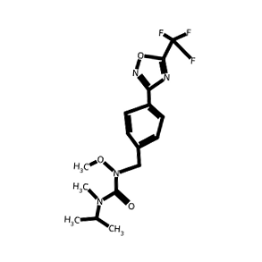 CON(Cc1ccc(-c2noc(C(F)(F)F)n2)cc1)C(=O)N(C)C(C)C